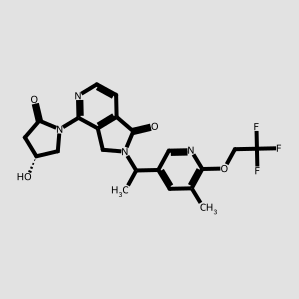 Cc1cc(C(C)N2Cc3c(ccnc3N3C[C@H](O)CC3=O)C2=O)cnc1OCC(F)(F)F